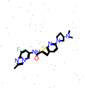 Cc1cn2cc(NC(=O)c3cc4ccc(N5CC[C@H](N(C)C)C5)nc4s3)cc(F)c2n1